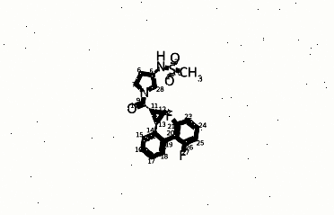 CS(=O)(=O)N[C@@H]1CCN(C(=O)[C@@H]2C[C@H]2c2ccccc2-c2c(F)cccc2F)C1